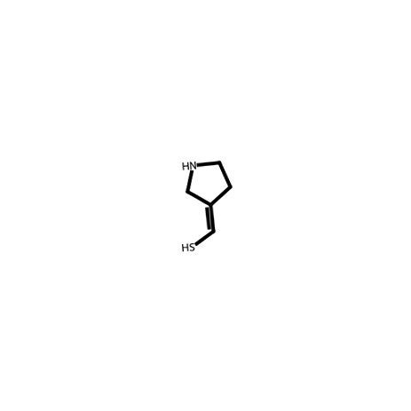 S/C=C1/CCNC1